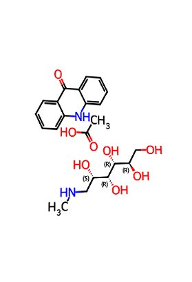 CC(=O)O.CNC[C@H](O)[C@@H](O)[C@H](O)[C@H](O)CO.O=c1c2ccccc2[nH]c2ccccc12